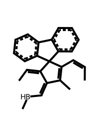 CB/C=C1C(C)=C(/C=C\C)C2(C/1=C/C)c1ccccc1-c1ccccc12